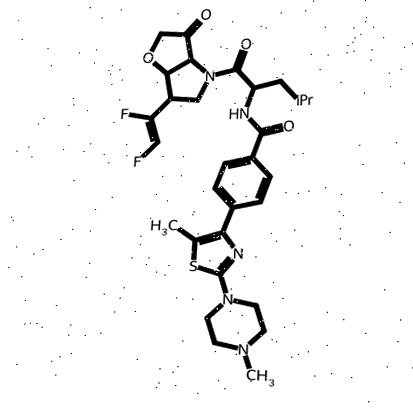 Cc1sc(N2CCN(C)CC2)nc1-c1ccc(C(=O)NC(CC(C)C)C(=O)N2CC(/C(F)=C/F)C3OCC(=O)C32)cc1